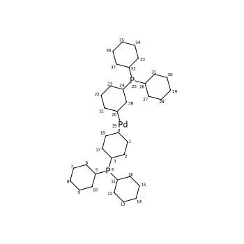 C1CCC(P(C2CCCCC2)C2CCCCC2)CC1.[Pd][CH]1CCCC(P(C2CCCCC2)C2CCCCC2)C1